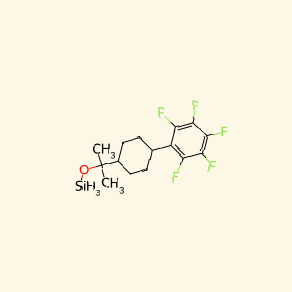 CC(C)(O[SiH3])C1CCC(c2c(F)c(F)c(F)c(F)c2F)CC1